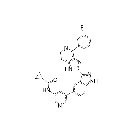 O=C(Nc1cncc(-c2ccc3[nH]nc(-c4nc5c(-c6cccc(F)c6)nccc5[nH]4)c3c2)c1)C1CC1